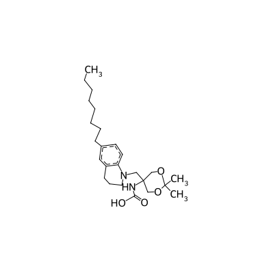 CCCCCCCCc1ccc2c(c1)CCCN2CC1(NC(=O)O)COC(C)(C)OC1